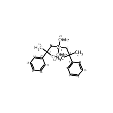 C[O][Zr]([CH2]C(C)(C)c1ccccc1)([CH2]C(C)(C)c1ccccc1)[O]C